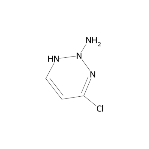 NN1N=C(Cl)C=CN1